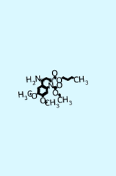 CCCCOC(=O)[C@H]1C[C@@H](N)c2cc(OC)c(OC)cc2N1C(=O)OCC